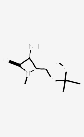 CC1(C)OC[C@@H]([C@@H]2[C@H](N)C(=O)N2S(=O)(=O)O)O1